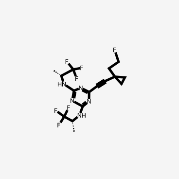 C[C@@H](Nc1nc(C#CC2(CCF)CC2)nc(N[C@H](C)C(F)(F)F)n1)C(F)(F)F